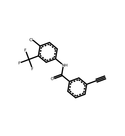 C#Cc1cccc(C(=O)Nc2ccc(Cl)c(C(F)(F)F)c2)c1